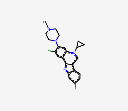 CCN1CCN(c2cc3c(cc2F)c2nc4cc(F)ccc4c-2cn3C2CC2)CC1